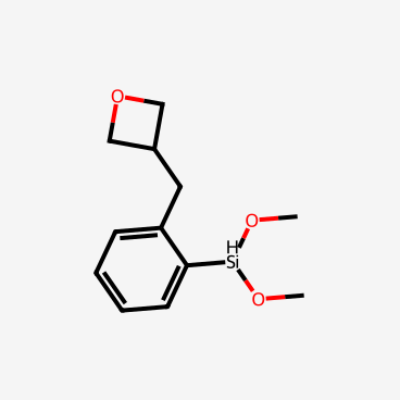 CO[SiH](OC)c1ccccc1CC1COC1